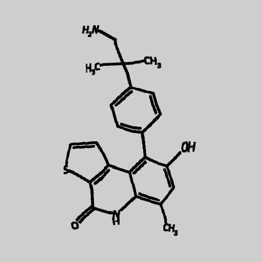 Cc1cc(O)c(-c2ccc(C(C)(C)CN)cc2)c2c1[nH]c(=O)c1sccc12